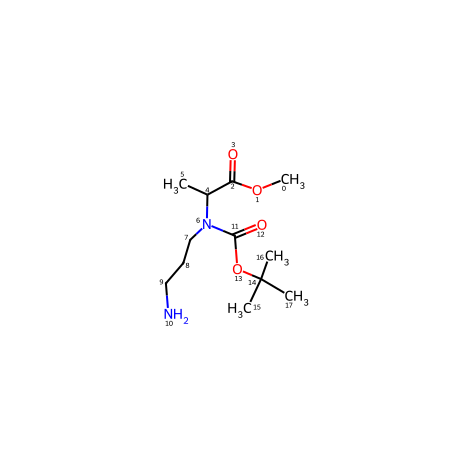 COC(=O)C(C)N(CCCN)C(=O)OC(C)(C)C